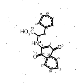 O=C1C=C(NC(Cc2ccccc2)C(=O)O)C(=O)c2ccccc21